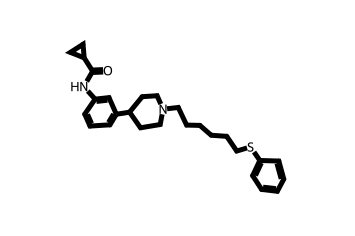 O=C(Nc1cccc(C2CCN(CCCCCCSc3ccccc3)CC2)c1)C1CC1